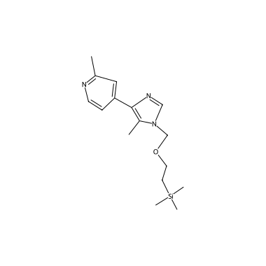 Cc1cc(-c2ncn(COCC[Si](C)(C)C)c2C)ccn1